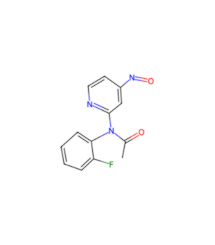 CC(=O)N(c1cc(N=O)ccn1)c1ccccc1F